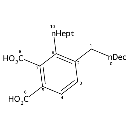 CCCCCCCCCCCc1ccc(C(=O)O)c(C(=O)O)c1CCCCCCC